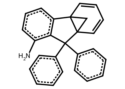 Nc1cccc2c1C(c1ccccc1)(c1ccccc1)C13C=CC=CC21C3